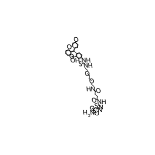 NS(=O)(=O)c1nnc(NC(=O)CCC(=O)NCCOCCOCCNC(=S)Nc2ccc(-c3c4ccc(=O)cc-4oc4ccccc34)c(C(=O)O)c2)s1